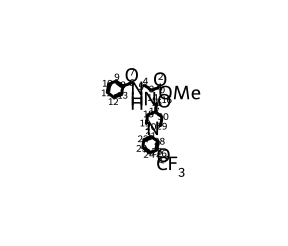 COC(=O)C(CNC(=O)c1ccccc1)NC(=O)C1CCN(c2cccc(OC(F)(F)F)c2)CC1